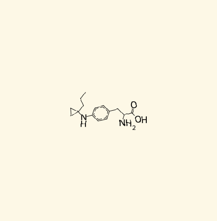 CCCC1(Nc2ccc(CC(N)C(=O)O)cc2)CC1